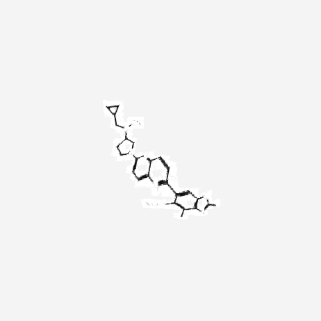 COc1c(-c2ccc3nc(N4CCC(B(C#N)CC5CC5)C4)ccc3n2)cc2oc(C)nc2c1C